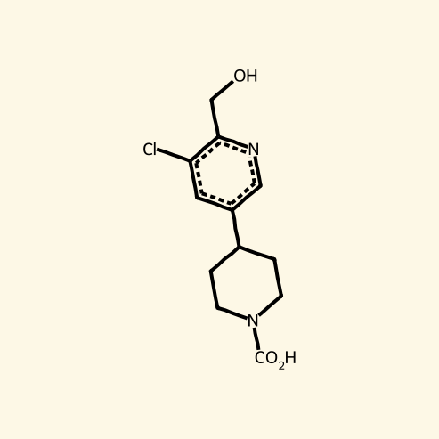 O=C(O)N1CCC(c2cnc(CO)c(Cl)c2)CC1